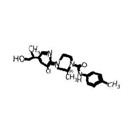 Cc1ccc(NC(=O)N2CCN(c3ncc(C(C)CO)cc3Cl)C[C@H]2C)cc1